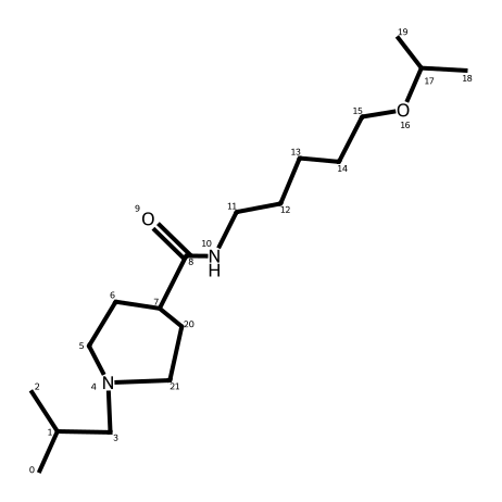 CC(C)CN1CCC(C(=O)NCCCCCOC(C)C)CC1